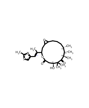 C/C(=C\c1csc(C)n1)C1CC2OC2CCC[C@H](C)[C@H](C)[C@@H](C)C(=O)C(C)(C)[C@@H](O)CC(=O)O1